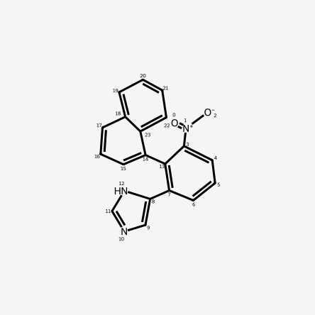 O=[N+]([O-])c1cccc(-c2cnc[nH]2)c1-c1cccc2ccccc12